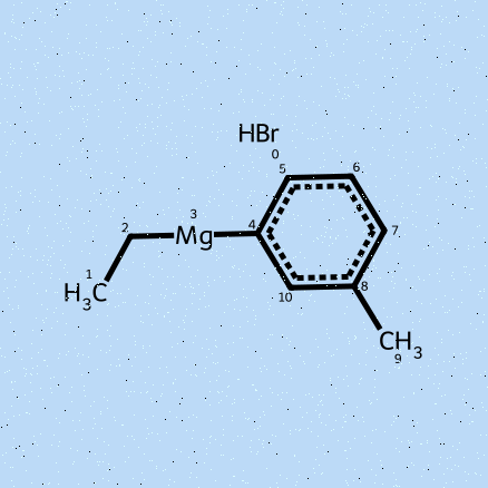 Br.C[CH2][Mg][c]1cccc(C)c1